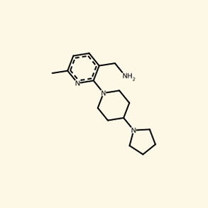 Cc1ccc(CN)c(N2CCC(N3CCCC3)CC2)n1